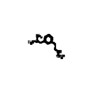 C[C@H](N)Cc1cccc(CCNC(=O)O)c1